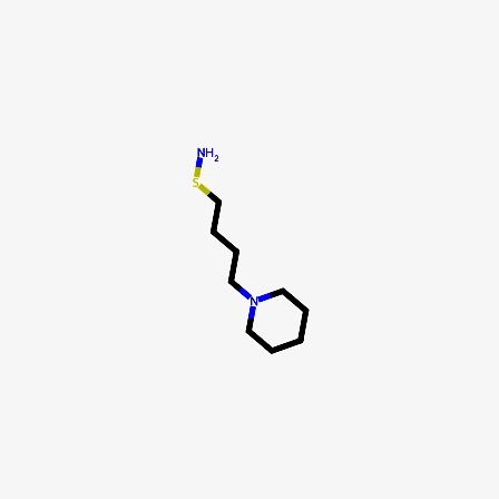 NSCCCCN1CCCCC1